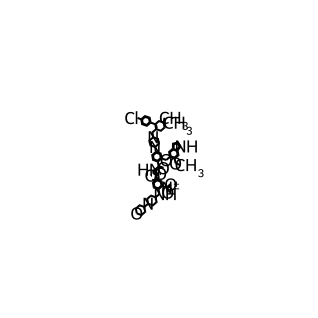 COc1cc2[nH]ccc2cc1Oc1cc(N2CCN(CC3=C(c4ccc(Cl)cc4)CC(C)(C)CC3)CC2)ccc1C(=O)NS(=O)(=O)c1ccc(NC2CCN(C3CCOCC3)CC2)c([N+](=O)[O-])c1